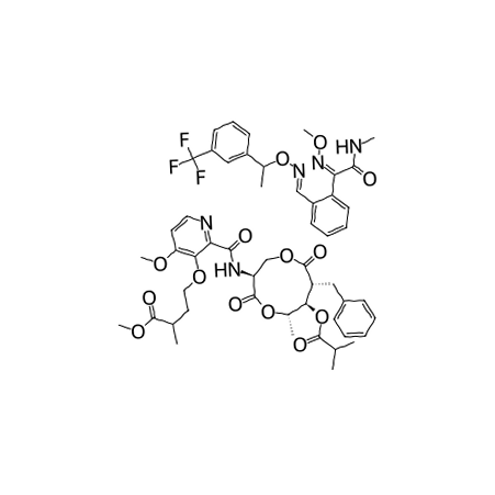 CNC(=O)C(=NOC)c1ccccc1C=NOC(C)c1cccc(C(F)(F)F)c1.COC(=O)C(C)CCOc1c(OC)ccnc1C(=O)N[C@H]1COC(=O)[C@H](Cc2ccccc2)[C@@H](OC(=O)C(C)C)[C@H](C)OC1=O